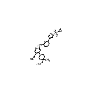 C#Cc1cnc(Nc2ccnc(-c3cnn(S(=O)(=O)C4CC4)c3)n2)cc1N1CCC(C)(CO)CC1